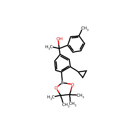 Cc1cccc(C(C)(O)c2ccc(B3OC(C)(C)C(C)(C)O3)c(C3CC3)c2)c1